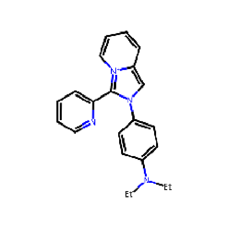 CCN(CC)c1ccc(-n2cc3cccc[n+]3c2-c2ccccn2)cc1